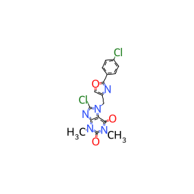 Cn1c(=O)c2c(nc(Cl)n2Cc2coc(-c3ccc(Cl)cc3)n2)n(C)c1=O